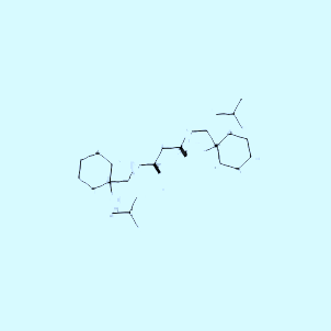 CC(C)C[C@@H](NC(=O)CC(=O)N[C@H](CC(C)C)C1(O)CCCCC1)C1(O)CCCCC1